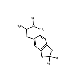 [2H]N(C)C(C)Cc1ccc2c(c1)OC([2H])([2H])O2